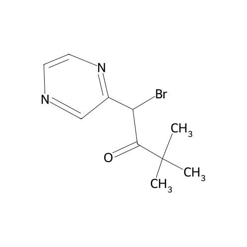 CC(C)(C)C(=O)C(Br)c1cnccn1